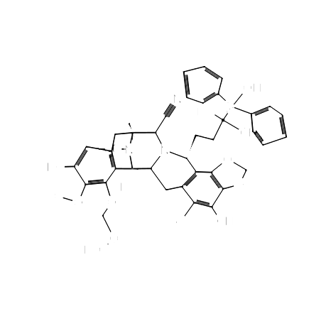 COCOc1c(OC)c(C)cc2c1[C@@H]1C3Cc4c(O)c(C)c5c(c4[C@H](CCC(C)(C)[Si](O)(c4ccccc4)c4ccccc4)N3C(C#N)[C@@H](C2)N1C)OCO5